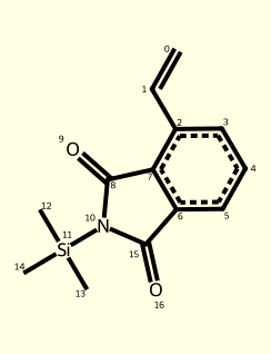 C=Cc1cccc2c1C(=O)N([Si](C)(C)C)C2=O